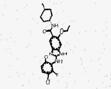 CCOc1cc2[nH]c(Nc3c(Cl)ccc(Cl)c3F)nc2cc1C(=O)N[C@H]1CC[C@H](C)CC1